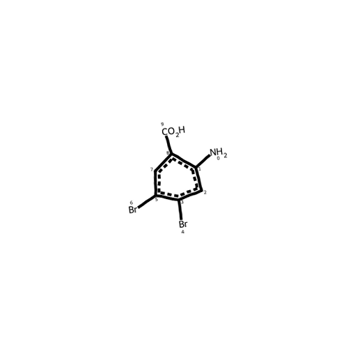 Nc1cc(Br)c(Br)cc1C(=O)O